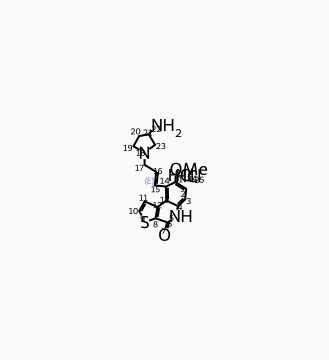 COc1ccc2[nH]c(=O)c3sccc3c2c1/C=C/CN1CCC(N)C1.Cl.Cl